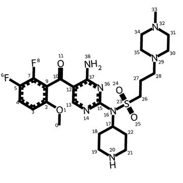 COc1ccc(F)c(F)c1C(=O)c1cnc(N(C2CCNCC2)S(=O)(=O)CCCN2CCN(C)CC2)nc1N